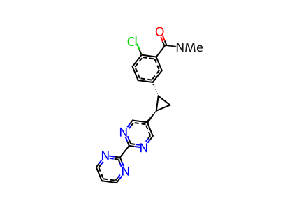 CNC(=O)c1cc([C@@H]2C[C@H]2c2cnc(-c3ncccn3)nc2)ccc1Cl